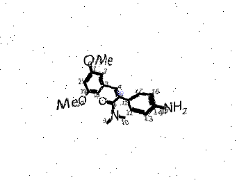 COc1cc(/C=C(\C(=O)N(C)C)c2ccc(N)cc2)cc(OC)c1